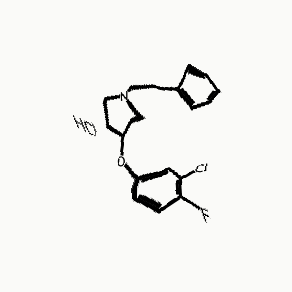 Cl.Fc1ccc(OC2CCN(Cc3ccccc3)C2)cc1Cl